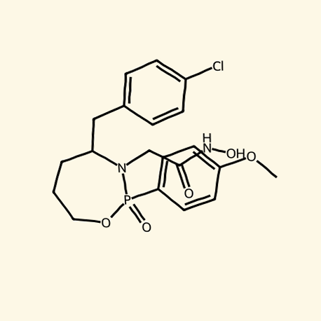 COc1ccc(P2(=O)OCCCC(Cc3ccc(Cl)cc3)N2CC(=O)NO)cc1